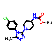 Cc1nnc(N2CCC(NC(=O)OC(C)(C)C)CC2)n1-c1ccc(Cl)cc1